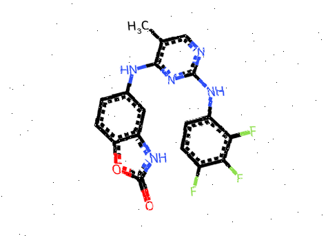 Cc1cnc(Nc2ccc(F)c(F)c2F)nc1Nc1ccc2oc(=O)[nH]c2c1